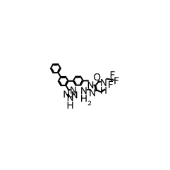 CCc1nc(N)n(Cc2ccc(-c3cc(-c4ccccc4)ccc3-c3nn[nH]n3)cc2)c1C(=O)NCC(F)(F)F